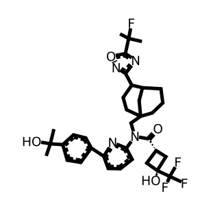 CC(C)(O)c1ccc(-c2cccc(N(CC34CCCC(C3)C(c3noc(C(C)(C)F)n3)CC4)C(=O)[C@H]3C[C@](O)(C(F)(F)F)C3)n2)cc1